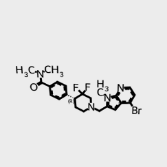 CN(C)C(=O)c1ccc([C@H]2CCN(Cc3cc4c(Br)ccnc4n3C)CC2(F)F)cc1